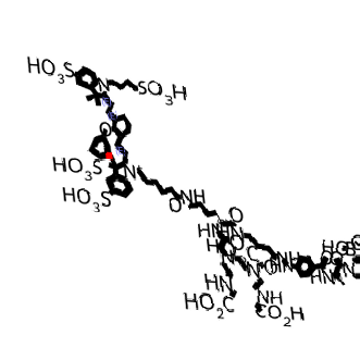 C[C@@H](NC(=O)c1ccc(NNC(=O)CCCNC(=O)[C@@H](CCCCNC(=O)CCCCC[N+]2=C(/C=C/C3=C(Oc4ccc(S(=O)(=O)O)cc4)C(=C/C=C4/N(CCCCS(=O)(=O)O)c5ccc(S(=O)(=O)O)cc5C4(C)C)/CCC3)C(C)(C)c3cc(S(=O)(=O)O)ccc32)NC(=O)CN(CCNCC(=O)O)CCN(CCNCC(=O)O)CC(=O)O)cc1)C(=O)N1CCC[C@H]1B(O)O